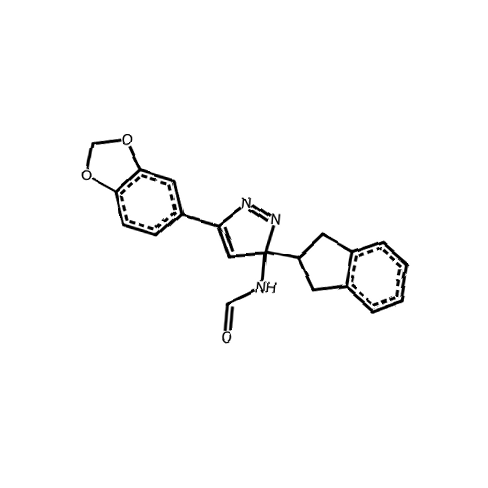 O=CNC1(C2Cc3ccccc3C2)C=C(c2ccc3c(c2)OCO3)N=N1